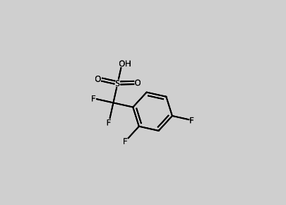 O=S(=O)(O)C(F)(F)c1ccc(F)cc1F